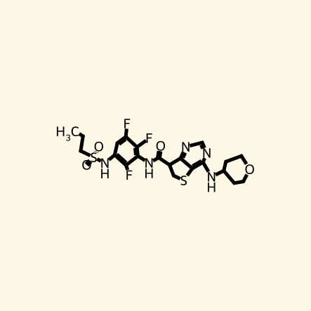 CCCS(=O)(=O)Nc1cc(F)c(F)c(NC(=O)C2CSc3c(NC4CCOCC4)ncnc32)c1F